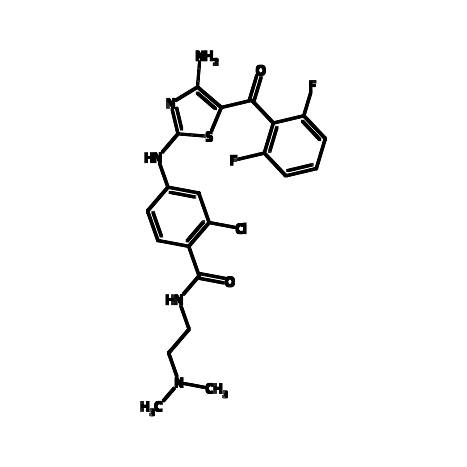 CN(C)CCNC(=O)c1ccc(Nc2nc(N)c(C(=O)c3c(F)cccc3F)s2)cc1Cl